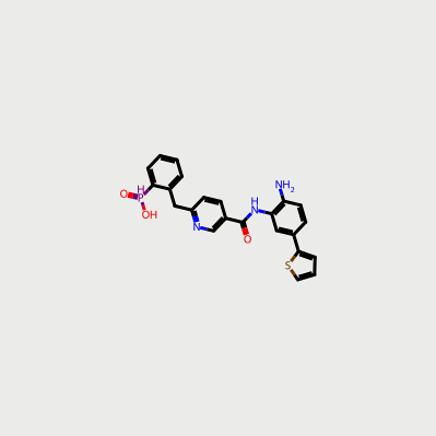 Nc1ccc(-c2cccs2)cc1NC(=O)c1ccc(Cc2ccccc2[PH](=O)O)nc1